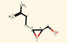 C=C(C)CC[C@H]1O[C@@H]1CO